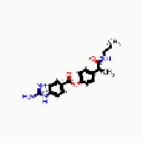 CCCNC(=O)C(C)c1ccc(OC(=O)c2ccc(NC(=N)N)cc2)cc1